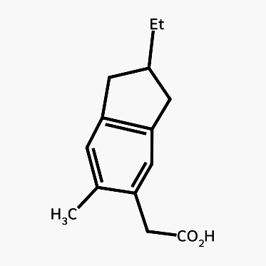 CCC1Cc2cc(C)c(CC(=O)O)cc2C1